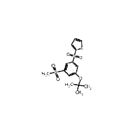 CC(C)(C)Oc1cc(S(C)(=O)=O)cc(S(=O)(=O)c2cccs2)c1